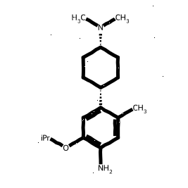 Cc1cc(N)c(OC(C)C)cc1[C@H]1CC[C@@H](N(C)C)CC1